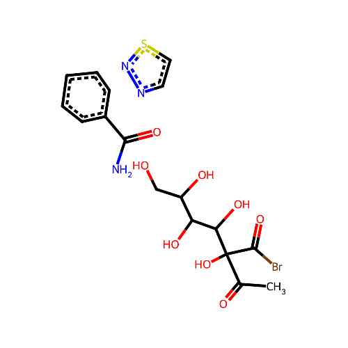 CC(=O)C(O)(C(=O)Br)C(O)C(O)C(O)CO.NC(=O)c1ccccc1.c1csnn1